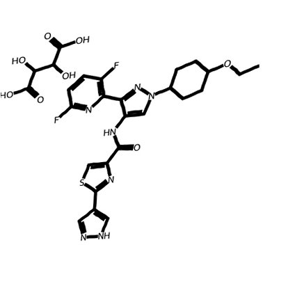 CCOC1CCC(n2cc(NC(=O)c3csc(-c4cn[nH]c4)n3)c(-c3nc(F)ccc3F)n2)CC1.O=C(O)C(O)C(O)C(=O)O